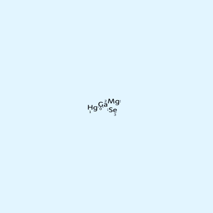 [Ga].[Hg].[Mg].[Se]